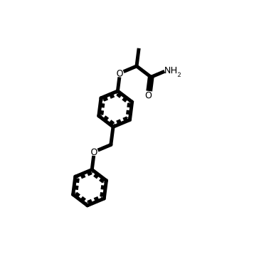 CC(Oc1ccc(COc2ccccc2)cc1)C(N)=O